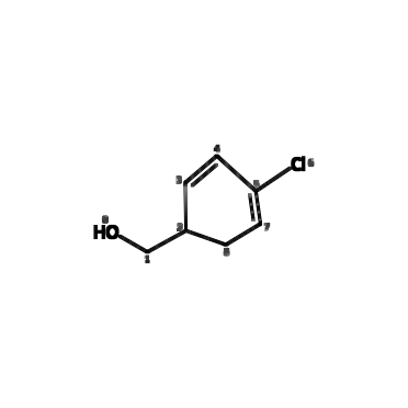 OCC1C=CC(Cl)=CC1